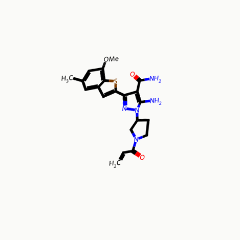 C=CC(=O)N1CCC(n2nc(-c3cc4cc(C)cc(OC)c4s3)c(C(N)=O)c2N)C1